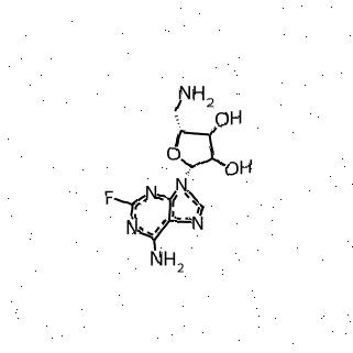 NC[C@H]1O[C@@H](n2cnc3c(N)nc(F)nc32)C(O)C1O